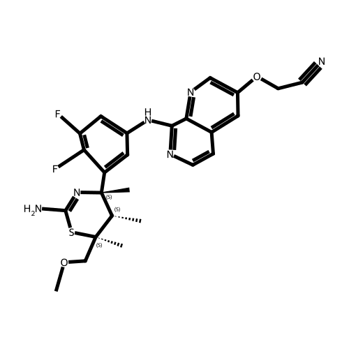 COC[C@@]1(C)SC(N)=N[C@](C)(c2cc(Nc3nccc4cc(OCC#N)cnc34)cc(F)c2F)[C@@H]1C